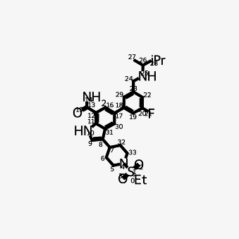 CCS(=O)(=O)N1CCC(c2c[nH]c3c(C(N)=O)cc(-c4cc(F)cc(CNC(C)C(C)C)c4)cc23)CC1